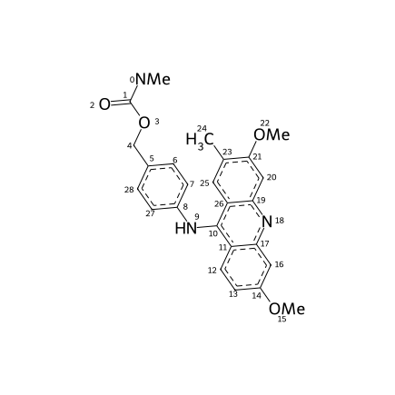 CNC(=O)OCc1ccc(Nc2c3ccc(OC)cc3nc3cc(OC)c(C)cc23)cc1